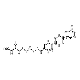 CCCCNC(=O)NCCOCCOc1ccc(N2CCN(c3cccc(C)c3)CC2)nn1